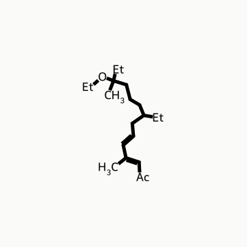 CCOC(C)(CC)CCCC(CC)CC=CC(C)=CC(C)=O